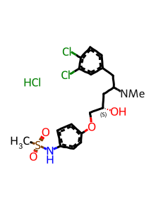 CNC(Cc1ccc(Cl)c(Cl)c1)C[C@H](O)COc1ccc(NS(C)(=O)=O)cc1.Cl